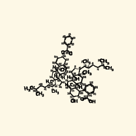 CC(C)CCC[C@@H](C)[C@H]1CC[C@H]2[C@@H]3CC=C4C[C@@H](O)CC(c5ccccc5C(=O)O)[C@]4(C)[C@H]3CC[C@]12C.CC(C)CCC[C@@H](C)[C@H]1CC[C@H]2[C@@H]3CC=C4C[C@@H](OC(=O)c5ccccc5)CC[C@]4(C)[C@H]3CC[C@]12C